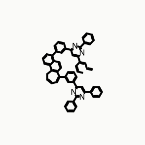 C=C/C=C(\C=C/C)c1cc(-c2cccc(-c3cccc4c5c(ccc34)C(c3cccc(-c4cc(-c6ccccc6)nc(-c6ccccc6)n4)c3)=CC=CC5)c2)nc(-c2ccccc2)n1